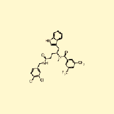 CN(C(=O)c1cc(C(F)(F)F)cc(C(F)(F)F)c1)C(CCC(=O)NCc1ccc(Cl)c(Cl)c1)Cc1c[nH]c2ccccc12